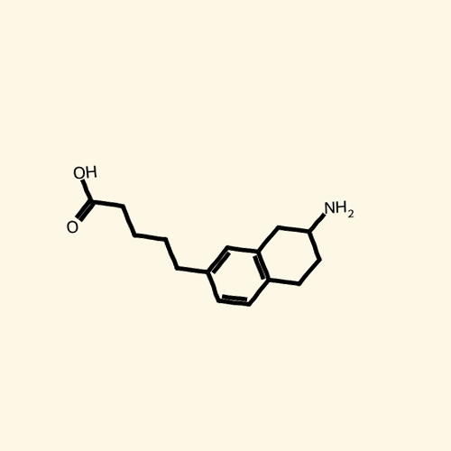 NC1CCc2ccc(CCCCC(=O)O)cc2C1